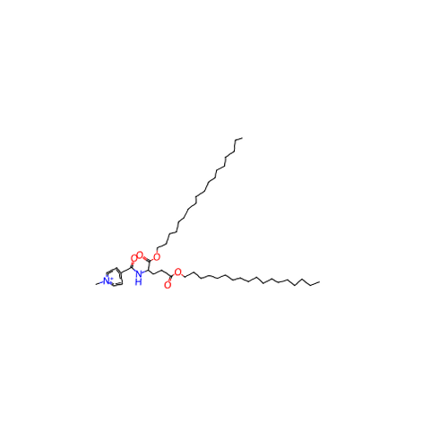 CCCCCCCCCCCCCCCCCCOC(=O)CCC(NC(=O)c1cc[n+](C)cc1)C(=O)OCCCCCCCCCCCCCCCCCC